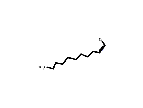 CC/C=C\CCCCCCCCC(=O)O